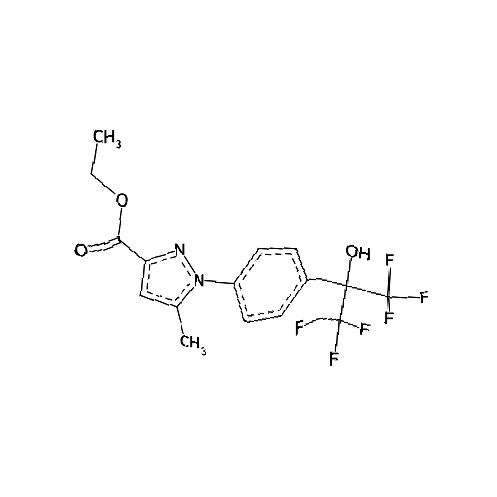 CCOC(=O)c1cc(C)n(-c2ccc(C(O)(C(F)(F)F)C(F)(F)F)cc2)n1